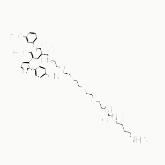 CC(=O)NCCCCNC(=O)NCCOCCOCCOCCOCCNC(=O)c1cc(-c2ccnn2-c2ccc(C#N)cc2)c(C)n(-c2cccc(C(F)(F)F)c2)c1=O